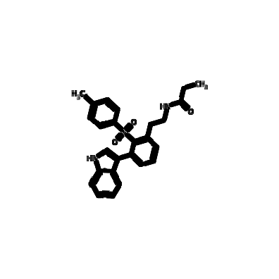 CCC(=O)NCCc1cccc(-c2c[nH]c3ccccc23)c1S(=O)(=O)c1ccc(C)cc1